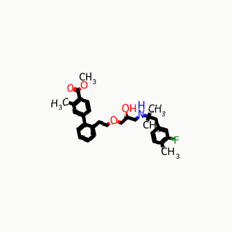 COC(=O)c1ccc(-c2ccccc2CCOC[C@@H](O)CNC(C)(C)Cc2ccc(C)c(F)c2)cc1C